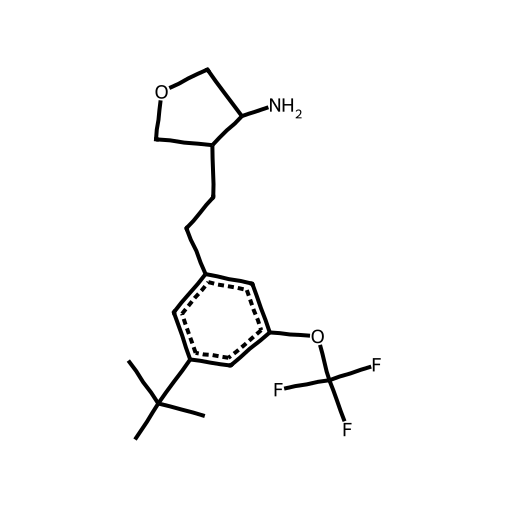 CC(C)(C)c1cc(CCC2COCC2N)cc(OC(F)(F)F)c1